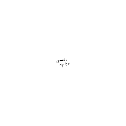 [Na+].[Na+].[S-][S-]